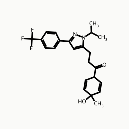 CC(C)n1nc(-c2ccc(C(F)(F)F)cc2)cc1CCC(=O)C1C=CC(C)(O)C=C1